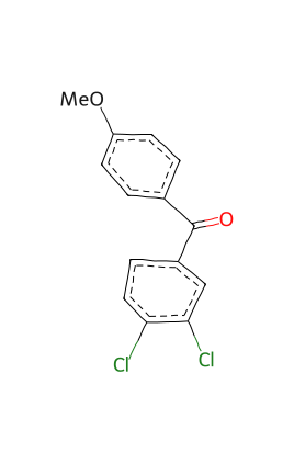 COc1ccc(C(=O)c2ccc(Cl)c(Cl)c2)cc1